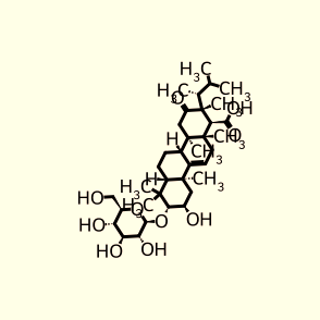 CC(C)[C@@H](C)[C@@]1(C)C(=O)C[C@]2(C)[C@H]3CC[C@H]4C(C)(C)[C@@H](O[C@@H]5O[C@H](CO)[C@@H](O)[C@H](O)[C@H]5O)[C@H](O)C[C@]4(C)C3=CC[C@@]2(C)[C@@H]1C(=O)O